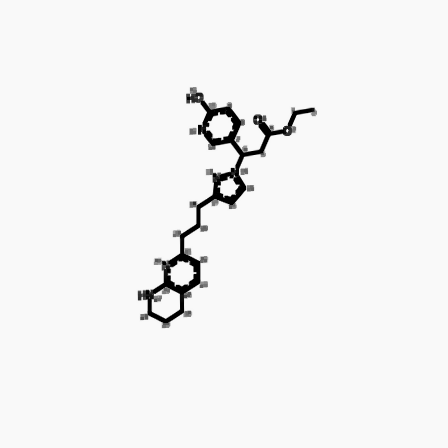 CCOC(=O)CC(c1ccc(O)nc1)n1ccc(CCCc2ccc3c(n2)NCCC3)n1